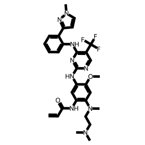 C=CC(=O)Nc1cc(Nc2ncc(C(F)(F)F)c(Nc3ccccc3-c3ccn(C)n3)n2)c(OC)cc1N(C)CCN(C)C